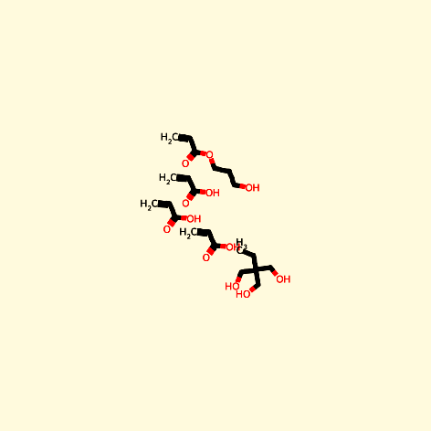 C=CC(=O)O.C=CC(=O)O.C=CC(=O)O.C=CC(=O)OCCCO.CCC(CO)(CO)CO